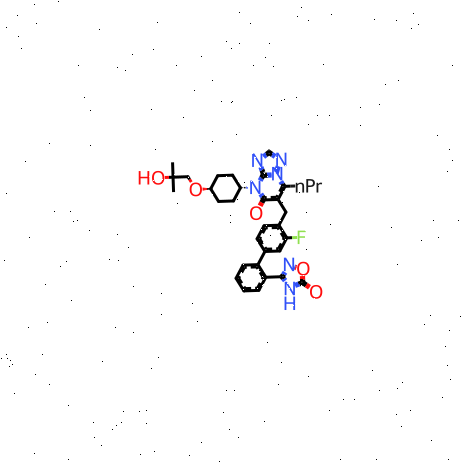 CCCc1c(Cc2ccc(-c3ccccc3-c3noc(=O)[nH]3)cc2F)c(=O)n([C@H]2CC[C@H](OCC(C)(C)O)CC2)c2ncnn12